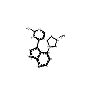 Nc1nccc(-c2c[nH]c3nccc(N4CC[C@H](O)C4)c23)n1